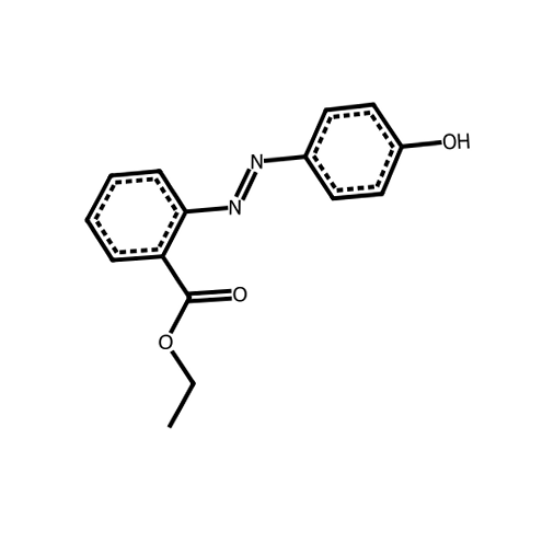 CCOC(=O)c1ccccc1/N=N/c1ccc(O)cc1